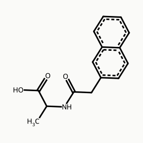 CC(NC(=O)Cc1ccc2ccccc2c1)C(=O)O